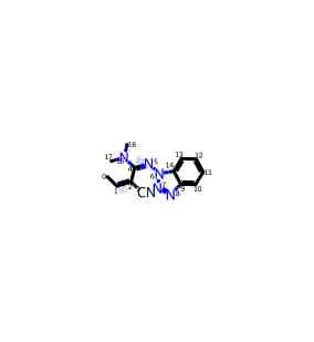 C/C=C(C#N)\C(=N/n1nnc2ccccc21)N(C)C